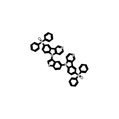 O=P(c1ccccc1)(c1ccccc1)c1ccc2c(c1)c1cnccc1n2-c1ccc2scc(-n3c4ccncc4c4cc(P(=O)(c5ccccc5)c5ccccc5)ccc43)c2c1